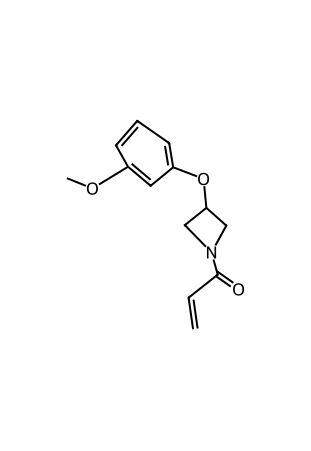 C=CC(=O)N1CC(Oc2cccc(OC)c2)C1